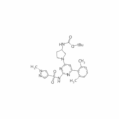 Cc1cccc(C)c1-c1cc(N2CCC(NC(=O)OC(C)(C)C)C2)nc(NS(=O)(=O)c2cnn(C)c2)n1